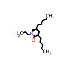 C=CCn1cc(CCCCC)cc(CCCCC)c1=O